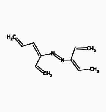 C=C/C=C(C=C)/N=N/C(C=C)=C/C